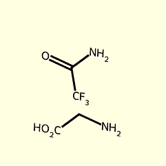 NC(=O)C(F)(F)F.NCC(=O)O